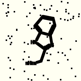 CCCCCCCc1nc2ccccc2[nH]1